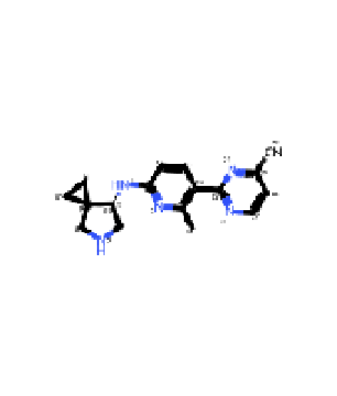 Cc1nc(N[C@@H]2CNCC23CC3)ccc1-c1nccc(C#N)n1